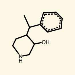 CC(c1ccccc1)C1CCNCC1O